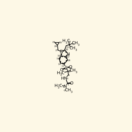 CN(C)C(=O)NCC(C)(C)S(=O)(=O)c1ccc2c(c1)nc(CC(C)(C)C)n2CC1CC1